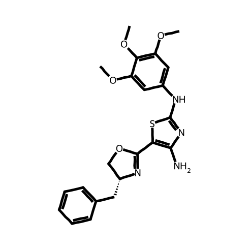 COc1cc(Nc2nc(N)c(C3=N[C@H](Cc4ccccc4)CO3)s2)cc(OC)c1OC